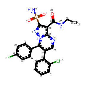 NS(=O)(=O)c1nn2c(-c3ccc(F)cc3)c(-c3ccccc3Cl)cnc2c1C(=O)NCC(F)(F)F